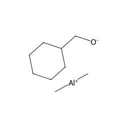 [CH3][Al+][CH3].[O-]CC1CCCCC1